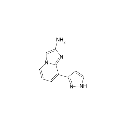 Nc1cn2cccc(-c3cc[nH]n3)c2n1